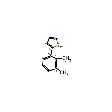 Cc1cccc(-c2c[c]cs2)c1C